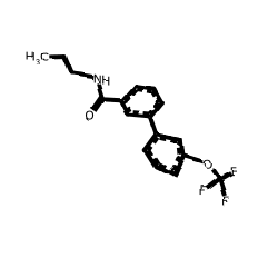 CCCNC(=O)c1cccc(-c2cccc(OC(F)(F)F)c2)c1